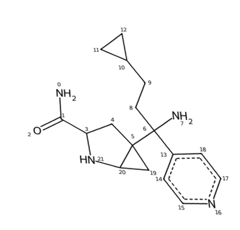 NC(=O)C1CC2(C(N)(CCC3CC3)c3ccncc3)CC2N1